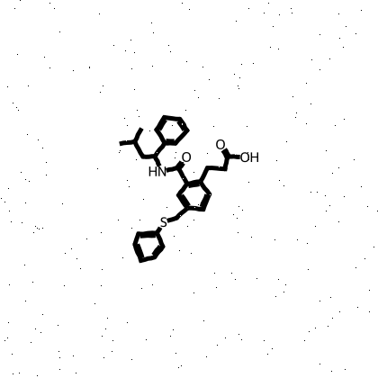 CC(C)CC(NC(=O)c1cc(CSc2ccccc2)ccc1CCC(=O)O)c1ccccc1